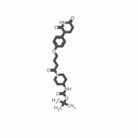 CC(C)(C)OC(=O)NC1CCN(C(=O)CCCOc2ccc(C3CCC(=O)NC3=O)cc2)CC1